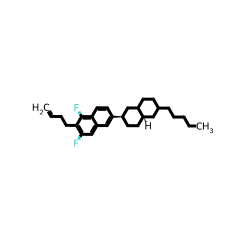 C=CCCc1c(F)cc2cc([C@@H]3CC[C@@H]4CC(CCCCC)CCC4C3)ccc2c1F